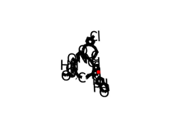 COCC[C@@H]1[C@@H](C)C/C=C/[C@](CN2CCN3CCOC[C@@H]3C2)(OC)[C@@H]2CC[C@H]2CN2CCCCc3cc(Cl)ccc3COc3ccc(nc32)C(=O)NS1(=O)=O